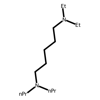 CCCN(CCC)CCCCCN(CC)CC